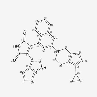 O=C1NC(=O)C(c2c[nH]c3sccc23)=C1c1nc(N2CCn3c(cnc3C3CC3)C2)nc2ccccc12